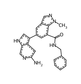 Cn1ncc2cc(-c3c[nH]c4cnc(N)cc34)cc(C(=O)NCc3ccccc3)c21